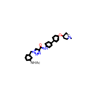 CC(=O)Nc1cccc(Cn2cc(C(=O)Nc3ccc(-c4ccc(OC5CCN(C)CC5)cc4)cc3)nn2)c1